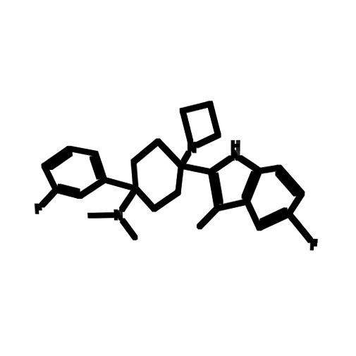 Cc1c(C2(N3CCC3)CCC(c3cccc(F)c3)(N(C)C)CC2)[nH]c2ccc(F)cc12